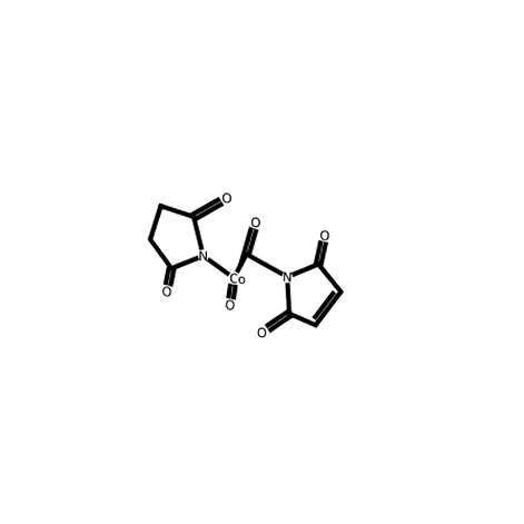 O=C1C=CC(=O)N1[C](=O)[Co](=[O])[N]1C(=O)CCC1=O